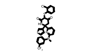 CN(c1cccc(C(F)(F)F)c1)c1cccc(C2(c3ccsc3)CC(=O)C(Sc3ccccc3Cl)C(=O)N2)n1